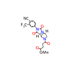 COC(=O)CCC(=O)N1C[C@H]2CC1[C@H]1C(=O)N(c3ccc(C#N)c(C(F)(F)F)c3)C(=O)N21